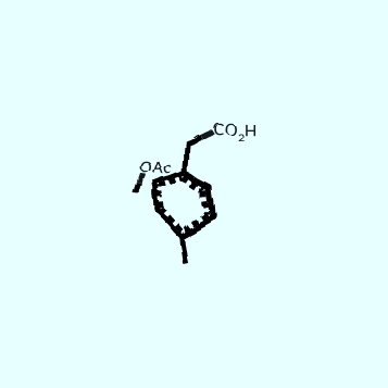 COC(C)=O.Cc1ccc(CC(=O)O)cc1